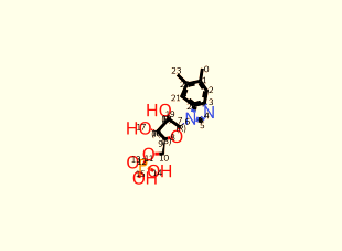 Cc1cc2ncn([C@@H]3O[C@@H](COP(=O)(O)O)[C@H](O)[C@H]3O)c2cc1C